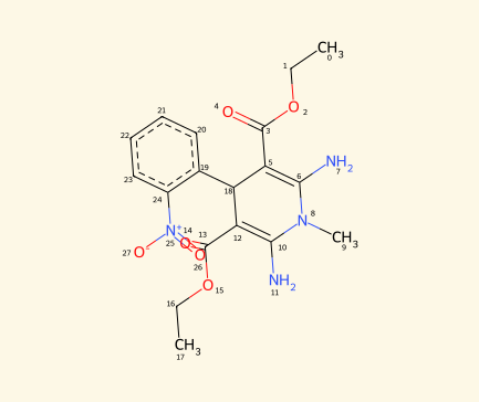 CCOC(=O)C1=C(N)N(C)C(N)=C(C(=O)OCC)C1c1ccccc1[N+](=O)[O-]